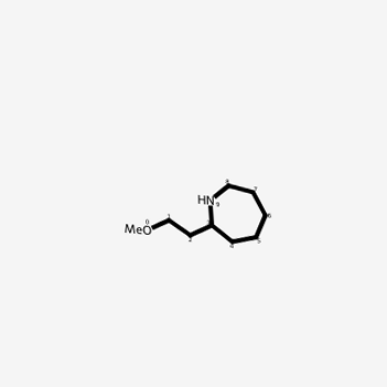 COCCC1CCCCCN1